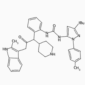 Cc1ccc(-n2nc(C(C)(C)C)cc2NC(=O)Nc2ccccc2C(C(=O)Cc2c(C)[nH]c3ccccc23)C2CCNCC2)cc1